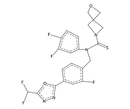 Fc1ccc(N(Cc2ccc(-c3nnc(C(F)F)o3)cc2F)C(=S)N2CC3(COC3)C2)cc1F